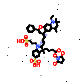 CCN1c2cc3c(cc2C(C)=CC1(C)C)/C(=C/C=C/C1=[N+](CCCS(=O)(=O)O)c2ccc(S(=O)(=O)O)cc2C1(C)CCCC(=O)ON1C(=O)CCC1=O)C=C(c1ccccc1)O3